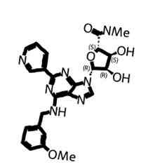 CNC(=O)[C@H]1O[C@@H](n2cnc3c(NCc4cccc(OC)c4)nc(-c4cccnc4)nc32)[C@H](O)[C@@H]1O